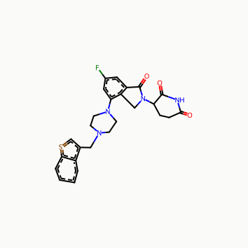 O=C1CCC(N2Cc3c(cc(F)cc3N3CCN(Cc4csc5ccccc45)CC3)C2=O)C(=O)N1